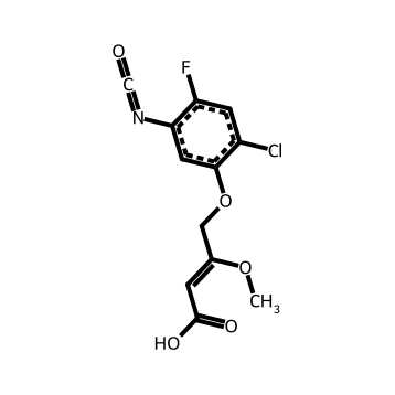 COC(=CC(=O)O)COc1cc(N=C=O)c(F)cc1Cl